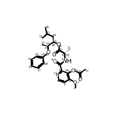 COc1ccnc(C(=O)N[C@@H](C)C(=O)O[C@H](CC(C)C)[C@H](C)Oc2ccccc2)c1OC(C)=O